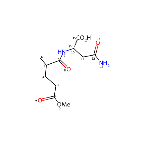 COC(=O)CCC(C)C(=O)N[C@@H](CC(N)=O)C(=O)O